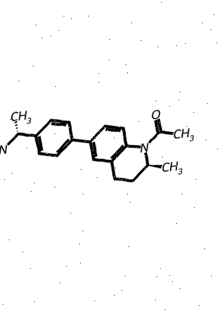 CC(=O)N1c2ccc(-c3ccc([C@@H](C)N)cc3)cc2CC[C@@H]1C